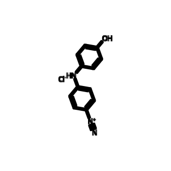 N#[N+]c1ccc(Nc2ccc(O)cc2)cc1.[Cl-]